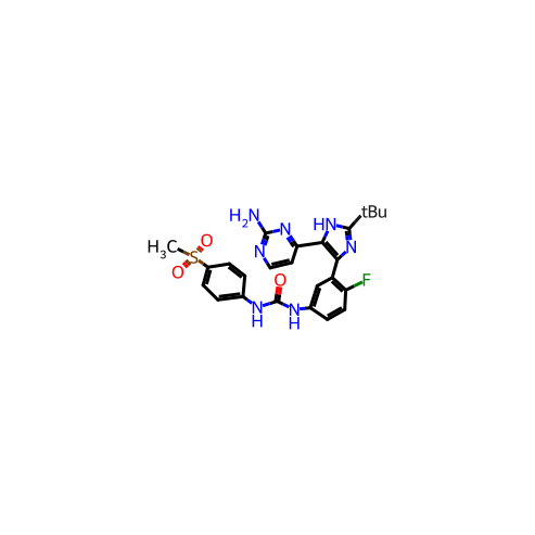 CC(C)(C)c1nc(-c2cc(NC(=O)Nc3ccc(S(C)(=O)=O)cc3)ccc2F)c(-c2ccnc(N)n2)[nH]1